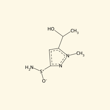 CC(O)c1cc([S+](N)[O-])nn1C